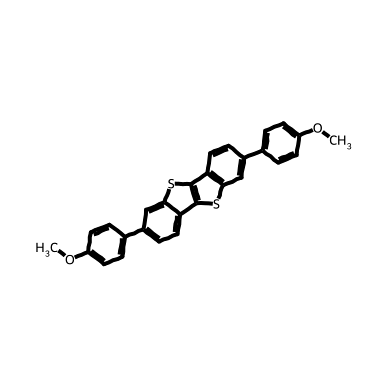 COc1ccc(-c2ccc3c(c2)sc2c4ccc(-c5ccc(OC)cc5)cc4sc32)cc1